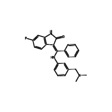 CN(C)Cc1cccc(NC(=C2C(=O)Nc3cc(F)ccc32)c2ccccc2)c1